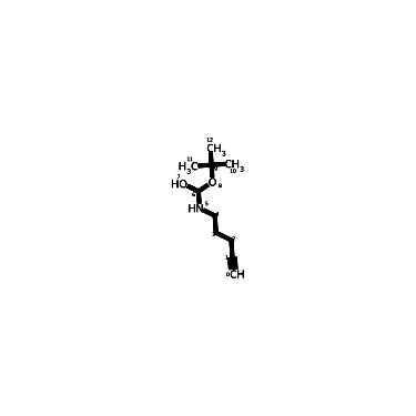 C#CCCCNC(O)OC(C)(C)C